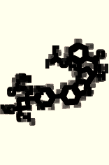 CC1(C#N)CC(N[S@+]([O-])C(C)(C)C)(c2ncc(-c3ccc4nc5n(c4c3)[C@@H]3C[C@H]5NC(=O)c4cccc(OC(F)F)c43)cn2)C1